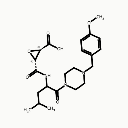 COc1ccc(CN2CCN(C(=O)C(CC(C)C)NC(=O)[C@@H]3O[C@H]3C(=O)O)CC2)cc1